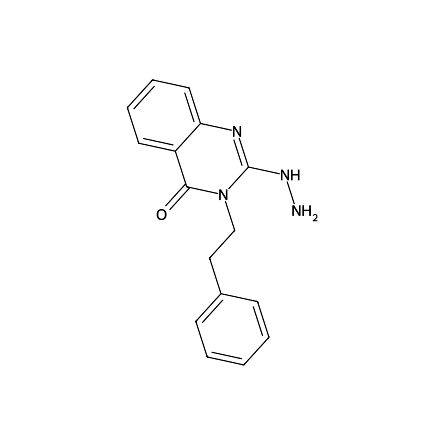 NNc1nc2ccccc2c(=O)n1CCc1ccccc1